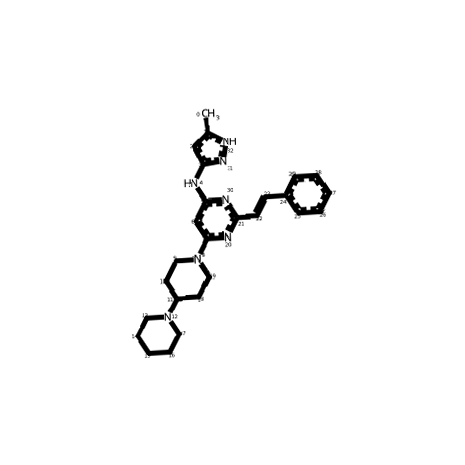 Cc1cc(Nc2cc(N3CCC(N4CCCCC4)CC3)nc(/C=C/c3ccccc3)n2)n[nH]1